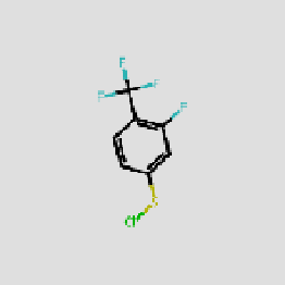 Fc1cc(SCl)ccc1C(F)(F)F